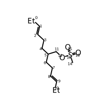 CCC=CCCC(CCC=CCC)COS(C)(=O)=O